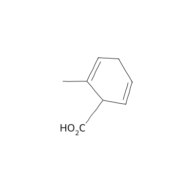 CC1=CCC=CC1C(=O)O